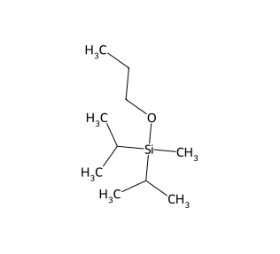 CCCO[Si](C)(C(C)C)C(C)C